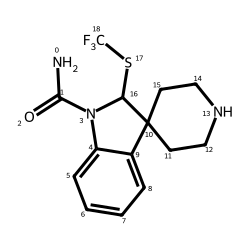 NC(=O)N1c2ccccc2C2(CCNCC2)C1SC(F)(F)F